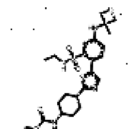 CCNS(=O)(=O)c1cc(NC2(C)COC2)ccc1-c1cnc(C2CCC(NC(=O)OC)CC2)s1